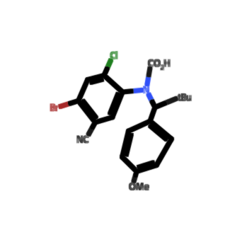 COc1ccc(C(N(C(=O)O)c2cc(C#N)c(Br)cc2Cl)C(C)(C)C)cc1